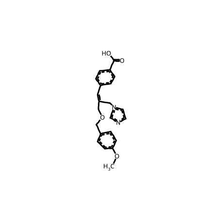 COc1ccc(COCC(=Cc2ccc(C(=O)O)cc2)Cn2ccnc2)cc1